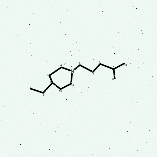 CCC1CCN(CCCC(C)C)CC1